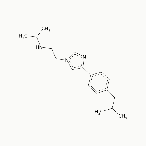 CC(C)Cc1ccc(-c2cn(CCNC(C)C)cn2)cc1